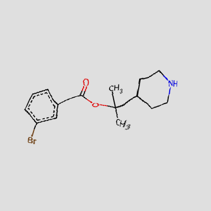 CC(C)(OC(=O)c1cccc(Br)c1)C1CCNCC1